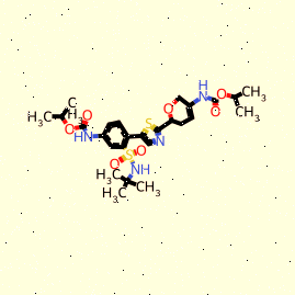 CC(C)OC(=O)NC1=CCC(c2ncc(-c3ccc(NC(=O)OC(C)C)cc3S(=O)(=O)NC(C)(C)C)s2)OC1